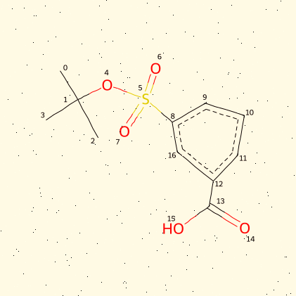 CC(C)(C)OS(=O)(=O)c1cccc(C(=O)O)c1